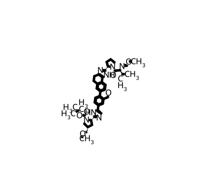 COC=N[C@H](C(=O)N1CCC[C@H]1c1nc2c([nH]1)-c1cc3c(cc1CC2)-c1ccc(-c2cnc([C@@H]4C[C@H](COC)CN4C(=O)OC(C)(C)C)[nH]2)cc1CO3)C(C)C